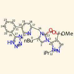 CCCCc1cn(-c2c(C(=O)OC)cnn2C(C)C)c(=O)n1Cc1ccc(-c2ccccc2-c2nnn[nH]2)cn1